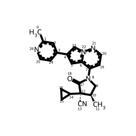 Cc1cc(-c2cc3c(N4C[C@@H](C)[C@@](C#N)(C5CC5)C4=O)ccnn3c2)ccn1